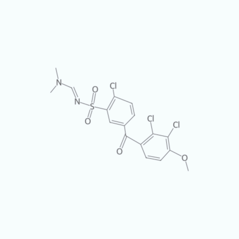 COc1ccc(C(=O)c2ccc(Cl)c(S(=O)(=O)N=CN(C)C)c2)c(Cl)c1Cl